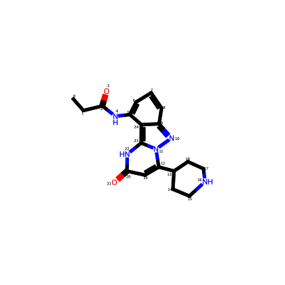 CCC(=O)Nc1cccc2nn3c(C4CCNCC4)cc(=O)[nH]c3c12